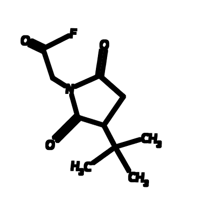 CC(C)(C)C1CC(=O)N(CC(=O)F)C1=O